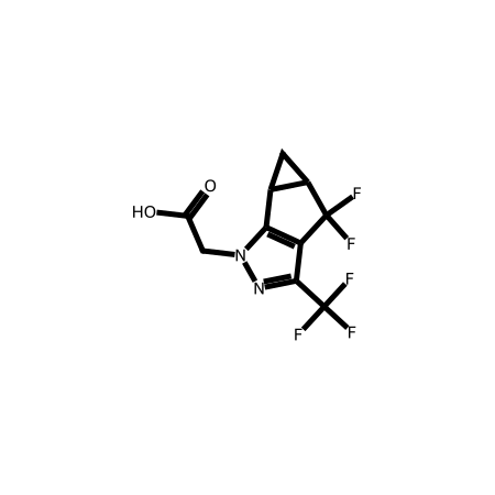 O=C(O)Cn1nc(C(F)(F)F)c2c1C1CC1C2(F)F